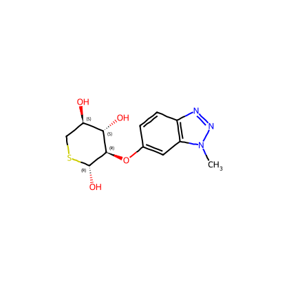 Cn1nnc2ccc(O[C@@H]3[C@@H](O)[C@H](O)CS[C@H]3O)cc21